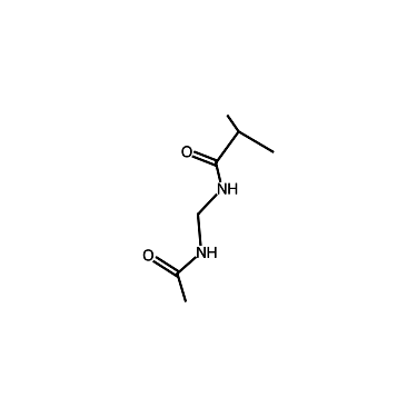 CC(=O)NCNC(=O)C(C)C